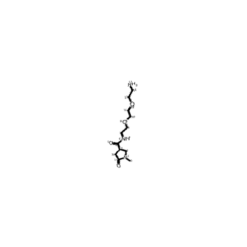 CN1CC(C(=O)NCCOCCOCCN)CC1=O